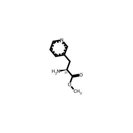 COC(=O)[C@@H](N)Cc1cccnc1